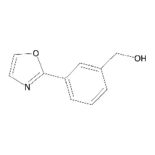 OCc1cccc(-c2ncco2)c1